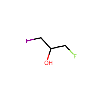 OC(CF)CI